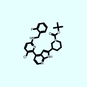 CC(C)(C)OC(=O)N1CCCC(c2cc3c(-c4nc(NCc5ccccc5F)ccc4Cl)ccnc3[nH]2)C1